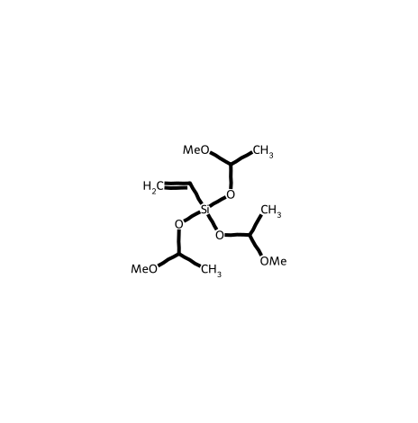 C=C[Si](OC(C)OC)(OC(C)OC)OC(C)OC